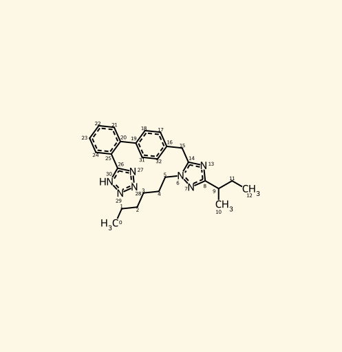 CCCCCCn1nc(C(C)CC)nc1Cc1ccc(-c2ccccc2-c2nnn[nH]2)cc1